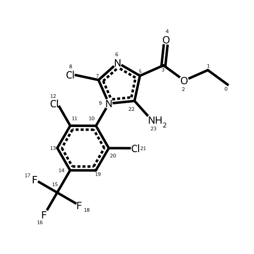 CCOC(=O)c1nc(Cl)n(-c2c(Cl)cc(C(F)(F)F)cc2Cl)c1N